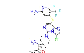 C[C@@H]1OCC2(CCN(c3ncc(Sc4cc(N)ncc4C(F)(F)F)c4ncc(Cl)n34)CC2)[C@@H]1N